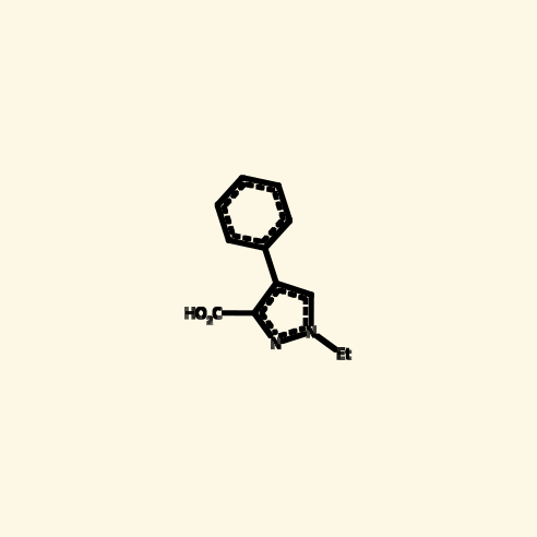 CCn1cc(-c2ccccc2)c(C(=O)O)n1